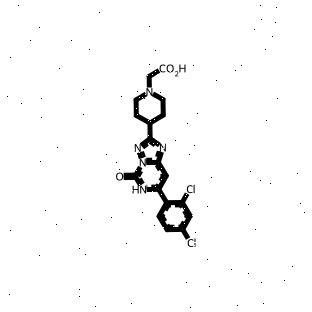 O=C(O)CN1CCC(c2nc3cc(-c4ccc(Cl)cc4Cl)[nH]c(=O)n3n2)CC1